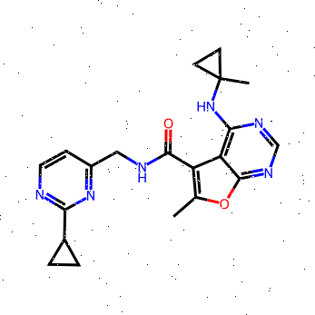 Cc1oc2ncnc(NC3(C)CC3)c2c1C(=O)NCc1ccnc(C2CC2)n1